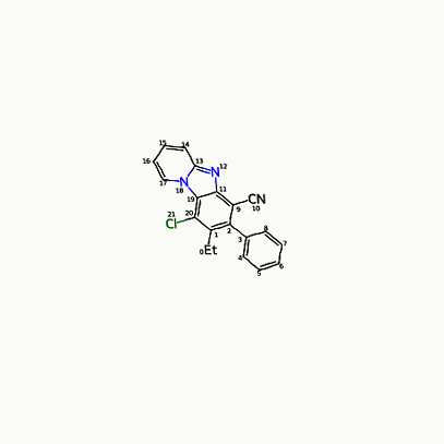 CCc1c(-c2ccccc2)c(C#N)c2nc3ccccn3c2c1Cl